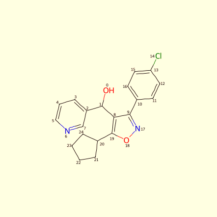 OC(c1cccnc1)c1c(-c2ccc(Cl)cc2)noc1C1CCCC1